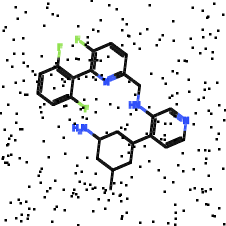 CC1CC(N)CC(c2ccncc2NCc2ccc(F)c(-c3c(F)cccc3F)n2)C1